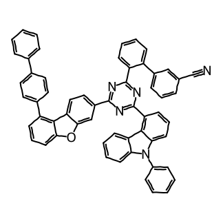 N#Cc1cccc(-c2ccccc2-c2nc(-c3ccc4c(c3)oc3cccc(-c5ccc(-c6ccccc6)cc5)c34)nc(-c3cccc4c3c3ccccc3n4-c3ccccc3)n2)c1